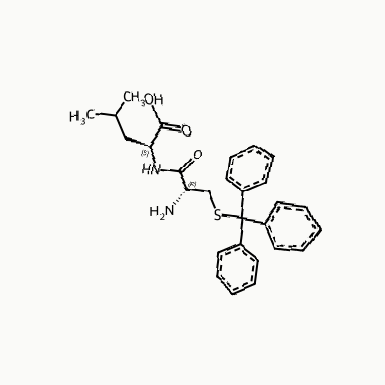 CC(C)C[C@H](NC(=O)[C@@H](N)CSC(c1ccccc1)(c1ccccc1)c1ccccc1)C(=O)O